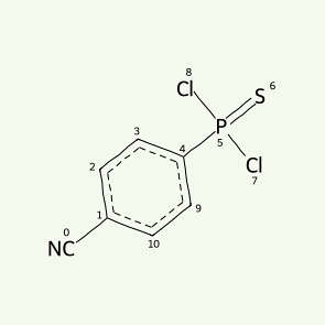 N#Cc1ccc(P(=S)(Cl)Cl)cc1